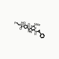 CSc1nc(NC2CC2c2ccccc2)c2nnn([C@H]3C[C@@H](C(=O)NCCF)[C@H](O)[C@@H]3O)c2n1